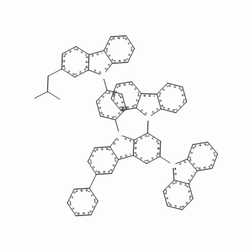 CC(C)Cc1ccc2c3ccccc3n(-c3ccc(-n4c5ccc(-c6ccccc6)cc5c5cc(-n6c7ccccc7c7ccccc76)cc(-n6c7ccccc7c7ccccc76)c54)cc3)c2c1